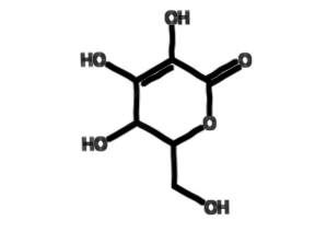 O=C1OC(CO)C(O)C(O)=C1O